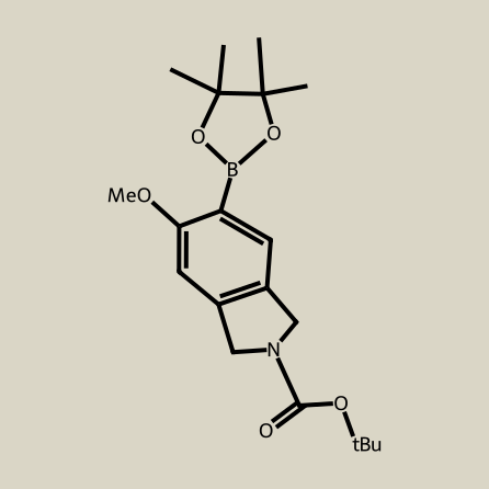 COc1cc2c(cc1B1OC(C)(C)C(C)(C)O1)CN(C(=O)OC(C)(C)C)C2